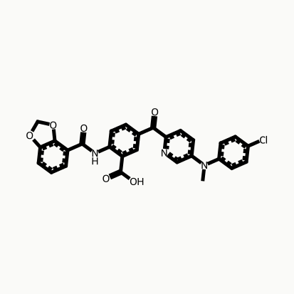 CN(c1ccc(Cl)cc1)c1ccc(C(=O)c2ccc(NC(=O)c3cccc4c3OCO4)c(C(=O)O)c2)nc1